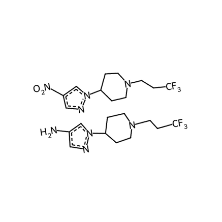 Nc1cnn(C2CCN(CCC(F)(F)F)CC2)c1.O=[N+]([O-])c1cnn(C2CCN(CCC(F)(F)F)CC2)c1